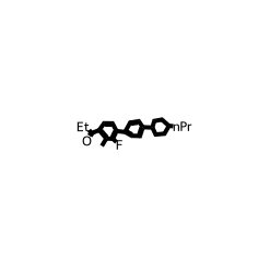 CCCC1CCC(c2ccc(-c3ccc(C(=O)CC)c(C)c3F)cc2)CC1